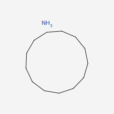 C1CCCCCCCCCCCC1.N